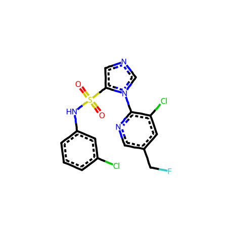 O=S(=O)(Nc1cccc(Cl)c1)c1cncn1-c1ncc(CF)cc1Cl